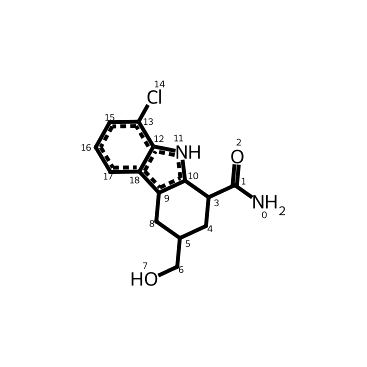 NC(=O)C1CC(CO)Cc2c1[nH]c1c(Cl)cccc21